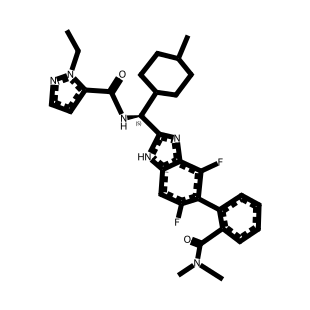 CCn1nccc1C(=O)N[C@H](c1nc2c(F)c(-c3ccccc3C(=O)N(C)C)c(F)cc2[nH]1)C1CCC(C)CC1